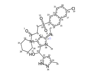 C/N=c1\sc([N+]2(C(=O)CCS(=O)(=O)c3ccc4cc(Cl)ccc4c3)CCCCC2)c(C(O)c2cc(C)n[nH]2)n1C